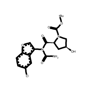 CC(C)(C)OC(=O)N1C[C@@H](O)C[C@H]1C(=O)N(C(N)=O)c1coc2ccc(Cl)cc12